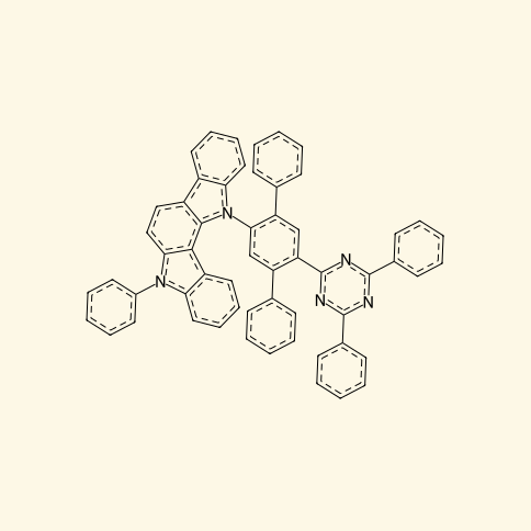 c1ccc(-c2nc(-c3ccccc3)nc(-c3cc(-c4ccccc4)c(-n4c5ccccc5c5ccc6c(c7ccccc7n6-c6ccccc6)c54)cc3-c3ccccc3)n2)cc1